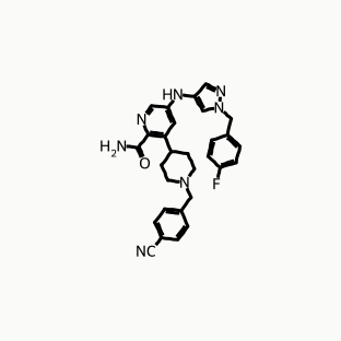 N#Cc1ccc(CN2CCC(c3cc(Nc4cnn(Cc5ccc(F)cc5)c4)cnc3C(N)=O)CC2)cc1